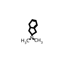 CN(C)C1CC2=CC=CCC2C1